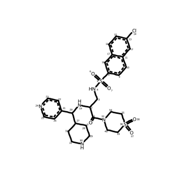 O=C(C(CNS(=O)(=O)c1ccc2cc(Cl)ccc2c1)NC(c1ccncc1)C1CCNCC1)N1CCS(=O)(=O)CC1